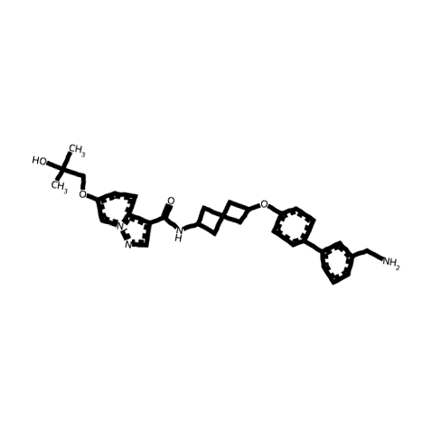 CC(C)(O)COc1ccc2c(C(=O)NC3CC4(C3)CC(Oc3ccc(-c5cccc(CN)c5)cc3)C4)cnn2c1